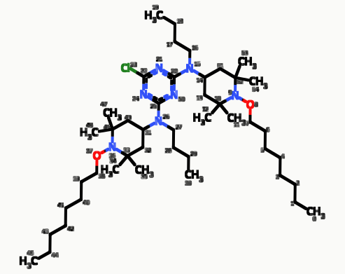 CCCCCCCCON1C(C)(C)CC(N(CCCC)c2nc(Cl)nc(N(CCCC)C3CC(C)(C)N(OCCCCCCCC)C(C)(C)C3)n2)CC1(C)C